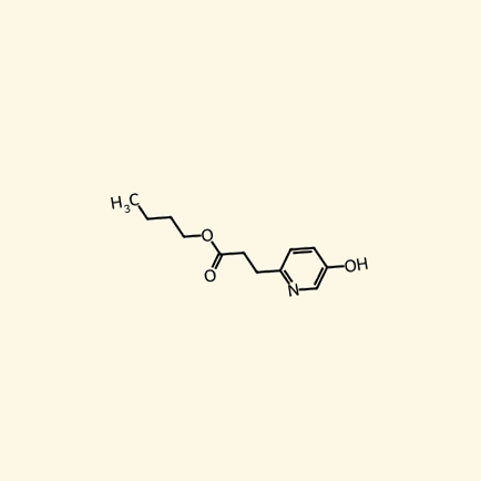 CCCCOC(=O)CCc1ccc(O)cn1